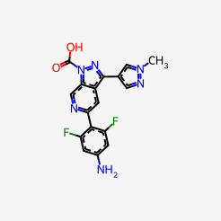 Cn1cc(-c2nn(C(=O)O)c3cnc(-c4c(F)cc(N)cc4F)cc23)cn1